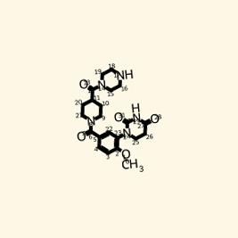 COc1ccc(C(=O)N2CCC(C(=O)N3CCNCC3)CC2)cc1N1CCC(=O)NC1=O